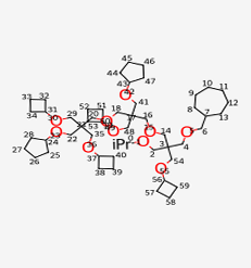 CC(C)OCC(COCC1CCCCCC1)(COCC(COCC(COC1CCCC1)(COC1CCC1)COC1CCC1)(COC1CCCC1)COC1CCC1)COC1CCC1